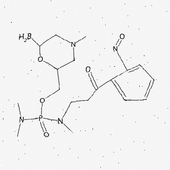 BC1CN(C)CC(COP(=O)(N(C)C)N(C)CCC(=O)c2ccccc2N=O)O1